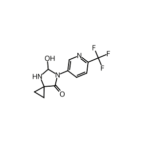 O=C1N(c2ccc(C(F)(F)F)nc2)C(O)NC12CC2